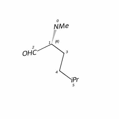 CN[C@@H](C=O)CCC(C)C